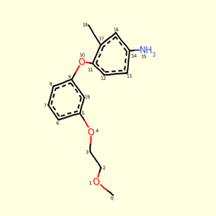 COCCOc1cccc(Oc2ccc(N)cc2C)c1